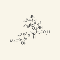 CC[C@H](C[C@H](O)[C@@H](C)NC(=O)[C@H](CC(=O)O)NCCCc1ccc(OC)c(O)c1)C1C=CC=CC1